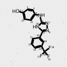 Oc1ccc(Nc2nnc(-c3cccc(C(F)(F)F)c3)[nH]2)cc1